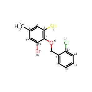 Cc1cc(S)c(OCc2ccccc2Cl)c(Br)c1